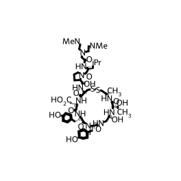 CNCCN(CCNC)CC(=O)N[C@@H](CC(C)C)C(=O)N1CCCC1[C@H](O)N[C@H]1CSSC[C@@H](C)NC(=O)[C@H](C(C)O)N[C@H](O)CNC(=O)[C@H](Cc2ccc(O)cc2)NC(=O)[C@H](Cc2ccc(O)cc2)NC(=O)[C@H](CC(=O)O)NC1=O